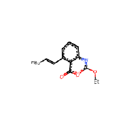 CCCCC=Cc1cccc2nc(OCC)oc(=O)c12